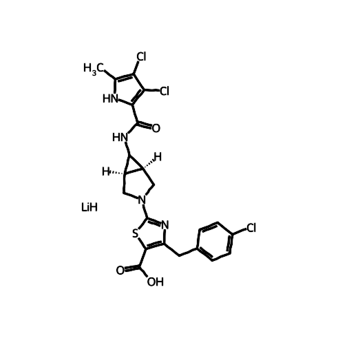 Cc1[nH]c(C(=O)NC2[C@H]3CN(c4nc(Cc5ccc(Cl)cc5)c(C(=O)O)s4)C[C@@H]23)c(Cl)c1Cl.[LiH]